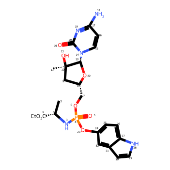 CCOC(=O)[C@H](C)NP(=O)(OC[C@@H]1C[C@@](C)(O)[C@H](n2ccc(N)nc2=O)O1)Oc1ccc2[nH]ccc2c1